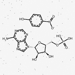 Nc1ncnc2c1ncn2[C@@H]1O[C@H](COP(=O)(O)O)[C@@H](O)[C@H]1O.O=[N+]([O-])c1ccc(O)cc1